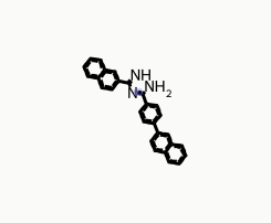 N=C(/N=C(\N)c1ccc(-c2ccc3ccccc3c2)cc1)c1ccc2ccccc2c1